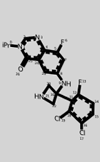 CC(C)n1cnc2c(F)cc(NC3(c4c(F)ccc(Cl)c4Cl)CNC3)cc2c1=O